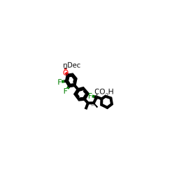 CCCCCCCCCCOc1ccc(-c2ccc(C(C)[C@H](C)[C@](F)(C(=O)O)C3CCCCC3)cc2)c(F)c1F